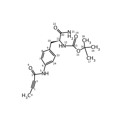 CC#CC(=O)Nc1ccc(C[C@H](NC(=O)OC(C)(C)C)C(N)=O)cc1